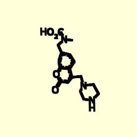 CN(Cc1ccc2c(CN3CCNCC3)cc(=O)oc2c1)C(=O)O